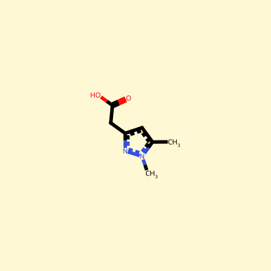 Cc1cc(CC(=O)O)nn1C